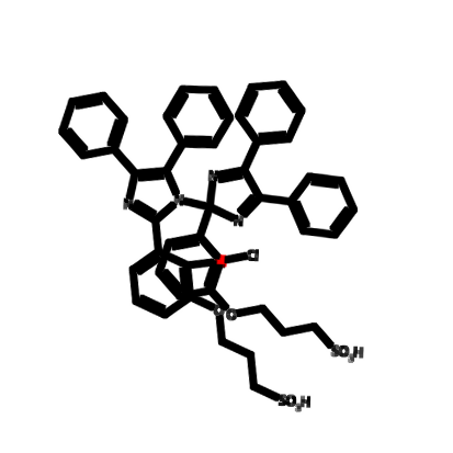 O=S(=O)(O)CCCOc1cccc(-c2nc(-c3ccccc3)c(-c3ccccc3)n2C2(c3cccc(OCCCS(=O)(=O)O)c3Cl)N=C(c3ccccc3)C(c3ccccc3)=N2)c1Cl